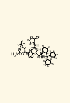 CC(C)(C)OCC(OC(N)=O)c1noc(C(CC(=O)NC(c2ccccc2)(c2ccccc2)c2ccccc2)NC(=O)N[C@H]2CCOC2=O)n1